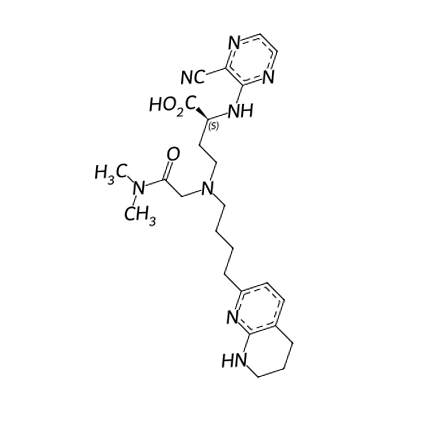 CN(C)C(=O)CN(CCCCc1ccc2c(n1)NCCC2)CC[C@H](Nc1nccnc1C#N)C(=O)O